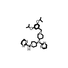 CC(C)Oc1cc(CN2CCC(N(c3ncccn3)C3CCN(Nc4ncccn4)CC3)CC2)cc(OC(C)C)c1